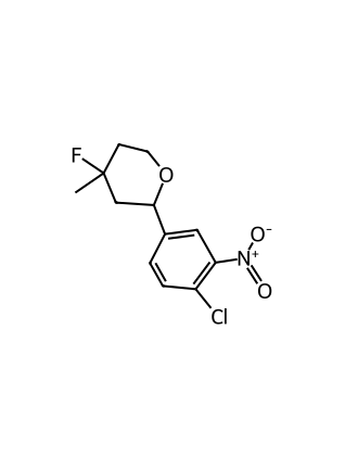 CC1(F)CCOC(c2ccc(Cl)c([N+](=O)[O-])c2)C1